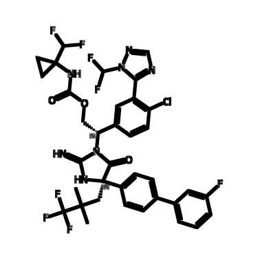 CC(C)(C[C@]1(c2ccc(-c3cccc(F)c3)cc2)NC(=N)N([C@H](COC(=O)NC2(C(F)F)CC2)c2ccc(Cl)c(-c3ncnn3C(F)F)c2)C1=O)C(F)(F)F